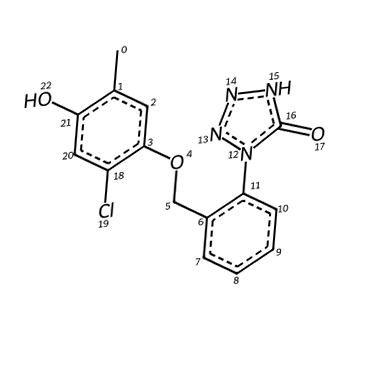 Cc1cc(OCc2ccccc2-n2nn[nH]c2=O)c(Cl)cc1O